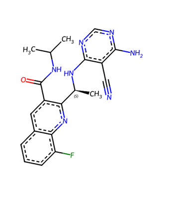 CC(C)NC(=O)c1cc2cccc(F)c2nc1[C@H](C)Nc1ncnc(N)c1C#N